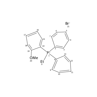 CC[P+](c1ccccc1)(c1ccccc1)c1ccccc1OC.[Br-]